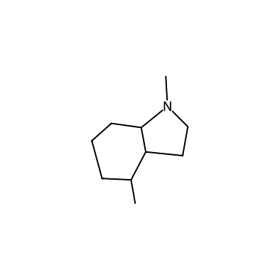 CC1CCCC2C1CCN2C